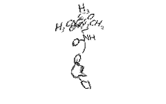 C=C(CCNC(=O)COc1ccc(Cl)cc1)NC(=O)[C@H](C)N(C)C